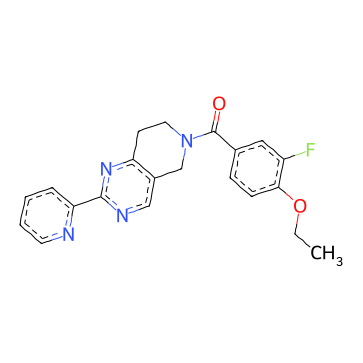 CCOc1ccc(C(=O)N2CCc3nc(-c4ccccn4)ncc3C2)cc1F